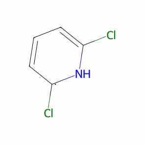 Cl[C]1C=CC=C(Cl)N1